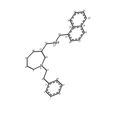 c1ccc(CCN2CCCCC(CNCc3cccc4ccccc34)C2)cc1